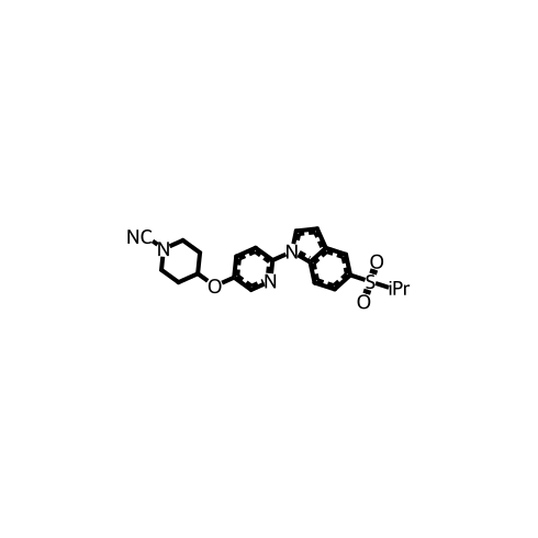 CC(C)S(=O)(=O)c1ccc2c(ccn2-c2ccc(OC3CCN(C#N)CC3)cn2)c1